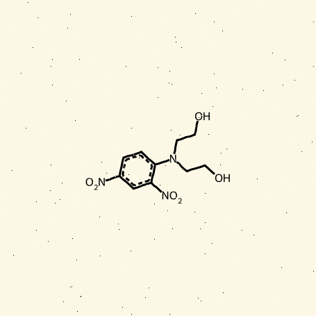 O=[N+]([O-])c1ccc(N(CCO)CCO)c([N+](=O)[O-])c1